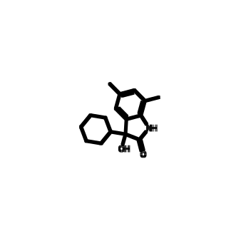 Cc1cc(C)c2c(c1)C(O)(C1CCCCC1)C(=O)N2